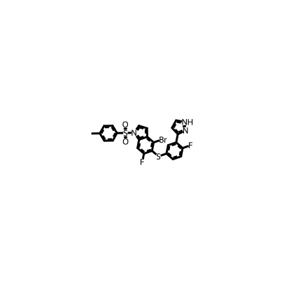 Cc1ccc(S(=O)(=O)n2ccc3c(Br)c(Sc4ccc(F)c(-c5cc[nH]n5)c4)c(F)cc32)cc1